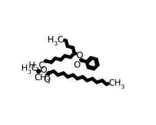 CCCCCCCC(CCCC)OC(=O)c1ccccc1.CCCCCCCCCCCCCC(=O)OC(C)C